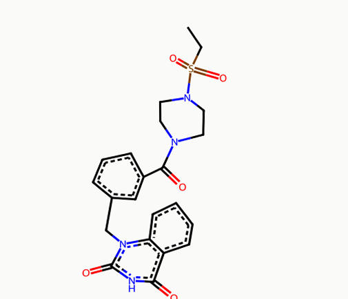 CCS(=O)(=O)N1CCN(C(=O)c2cccc(Cn3c(=O)[nH]c(=O)c4ccccc43)c2)CC1